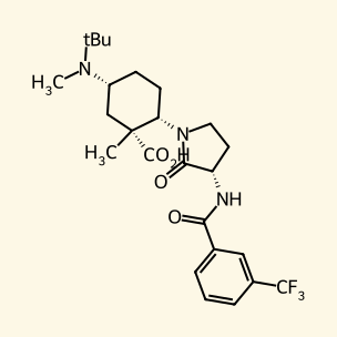 CN([C@@H]1CC[C@H](N2CC[C@H](NC(=O)c3cccc(C(F)(F)F)c3)C2=O)[C@](C)(C(=O)O)C1)C(C)(C)C